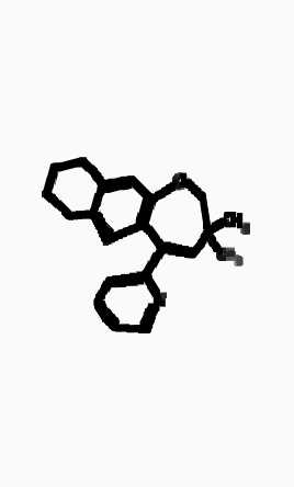 CC1(C)C=C(c2ccccn2)c2cc3c(cc2OC1)CCCC3